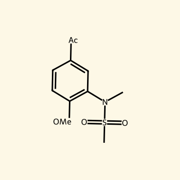 COc1ccc(C(C)=O)cc1N(C)S(C)(=O)=O